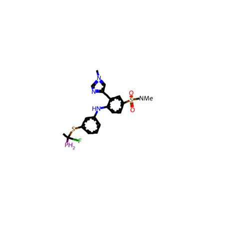 CNS(=O)(=O)c1ccc(Nc2cccc(SC(C)(F)P)c2)c(-c2cn(C)cn2)c1